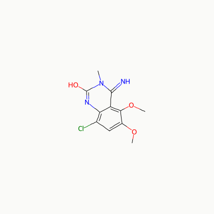 COc1cc(Cl)c2nc(O)n(C)c(=N)c2c1OC